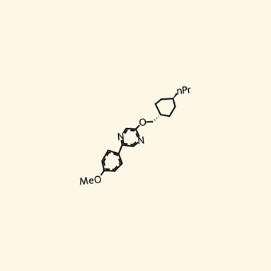 CCC[C@H]1CC[C@H](COc2cnc(-c3ccc(OC)cc3)cn2)CC1